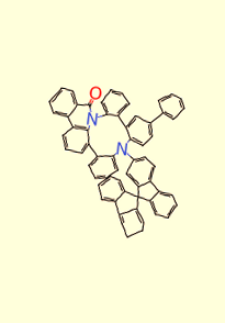 O=c1c2ccccc2c2cccc3c2n1-c1ccccc1-c1cc(-c2ccccc2)ccc1N(c1ccc2c(c1)C1(C4=CCCC=C4c4ccccc41)c1ccccc1-2)c1ccccc1-3